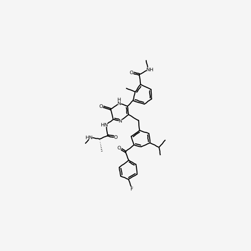 CNC(=O)c1cccc(-c2[nH]c(=O)c(NC(=O)[C@H](C)NC)nc2Cc2cc(C(=O)c3ccc(F)cc3)cc(C(C)C)c2)c1C